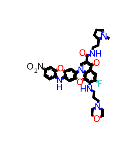 CN1CCCC1CCNC(=O)c1cn2c3cc4oc5cc([N+](=O)[O-])ccc5[nH]c4cc3oc3c(NCCCN4CCOCC4)c(F)cc(c1=O)c32